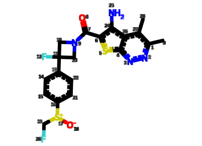 Cc1nnc2sc(C(=O)N3CC(F)(c4ccc([S+]([O-])CF)cc4)C3)c(N)c2c1C